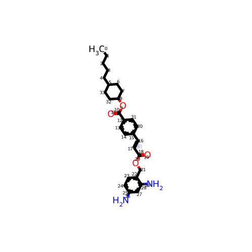 CCCCCC1CCC(OC(=O)c2ccc(/C=C/C(=O)OCc3ccc(N)cc3N)cc2)CC1